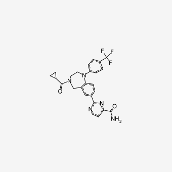 NC(=O)c1ccnc(-c2ccc3c(c2)CN(C(=O)C2CC2)CCN3c2ccc(C(F)(F)F)cc2)n1